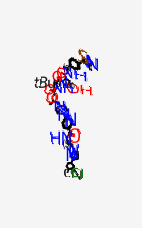 Cc1ncsc1-c1ccc([C@H](C)NC(=O)C2C[C@@H](O)CN2C(=O)[C@@H](NC(=O)COC(C)CN2CCN(c3ccc(C(=O)N[C@@H](C)Cn4ccc(-c5ccc(C#N)c(Cl)c5)n4)cn3)CC2)C(C)(C)C)cc1